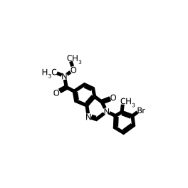 CON(C)C(=O)c1ccc2c(=O)n(-c3cccc(Br)c3C)cnc2c1